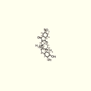 CC(C)c1cc2c(cc1O)[C@@]1(C)CCC[C@@](C)(CN3C(=O)c4ccc([N+](=O)[O-])cc4C3=O)[C@@H]1CC2